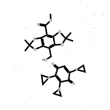 COC(=O)c1c2c(c(CO)c3c1OC(C)(C)O3)OC(C)(C)O2.O=C1C=C(N2CC2)C(=O)C(N2CC2)=C1N1CC1